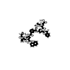 CN[C@@H](C)C(=O)N[C@@H](CCC(=O)O)C(=O)N1C[C@@H](NC(=O)c2cccc(C(=O)N[C@H]3C[C@@H](C(=O)N[C@@H]4CCCc5ccccc54)N(C(=O)[C@@H](NC(=O)[C@H](C)NC)C(C)(C)C)C3)c2)CC1C(=O)N[C@H](C)c1ccccc1